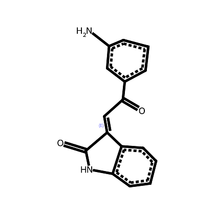 Nc1cccc(C(=O)/C=C2/C(=O)Nc3ccccc32)c1